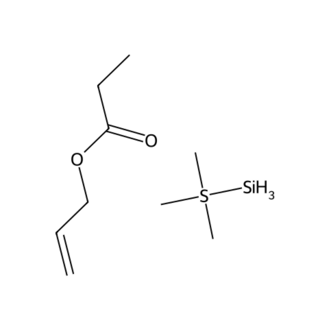 C=CCOC(=O)CC.CS(C)(C)[SiH3]